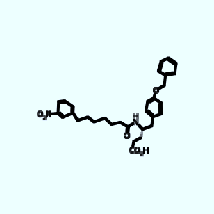 O=C(O)CC[C@@H](Cc1ccc(OCc2ccccc2)cc1)NC(=O)CCCCCCc1cccc([N+](=O)[O-])c1